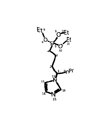 CCCC(CCC[Si](OCC)(OCC)OCC)n1ccnc1